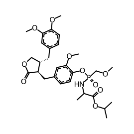 COCP(=O)(NC(C)C(=O)OC(C)C)Oc1ccc(C[C@H]2C(=O)OC[C@@H]2Cc2ccc(OC)c(OC)c2)cc1OC